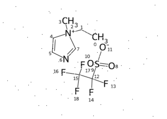 CC[N+]1(C)C=CN=C1.O=S(=O)([O-])C(F)(F)C(F)(F)F